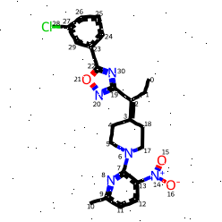 CCC(=C1CCN(c2nc(C)ccc2[N+](=O)[O-])CC1)c1noc(-c2cccc(Cl)c2)n1